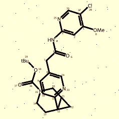 COc1cc(NC(=O)Cc2ccc(C34CCN(C(=O)OC(C)(C)C)CC3C4)nc2)ncc1Cl